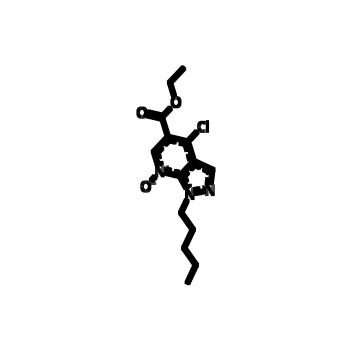 CCCCCn1ncc2c(Cl)c(C(=O)OCC)c[n+]([O-])c21